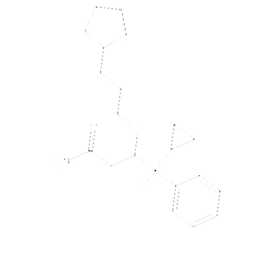 CC(c1ccccc1)(C1CC1)C(CC(N)=O)OCCCC1CCCC1